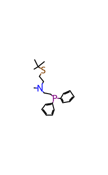 CN(CCSC(C)(C)C)CCP(c1ccccc1)c1ccccc1